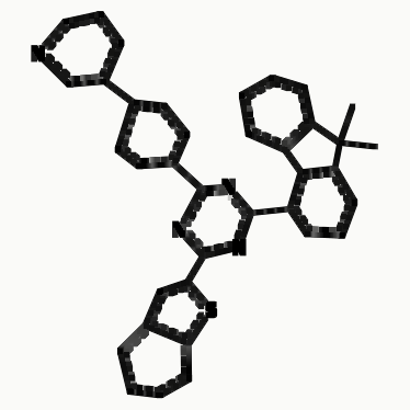 CC1(C)c2ccccc2-c2c(-c3nc(-c4ccc(-c5cccnc5)cc4)nc(-c4cc5ccccc5s4)n3)cccc21